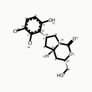 O=C1O[C@H](CO)C[C@@H]2C[C@H](c3c(O)ccc(Cl)c3Cl)CN12